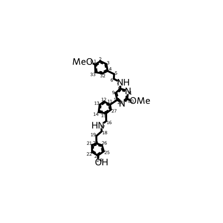 COc1ccc(CCNc2cc(-c3cccc(CNCCc4ccc(O)cc4)c3)nc(OC)n2)cc1